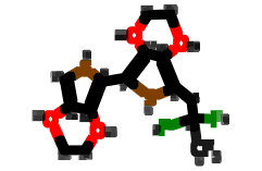 FC(F)(F)C(F)(F)Cc1sc(-c2scc3c2OCCO3)c2c1OCCO2